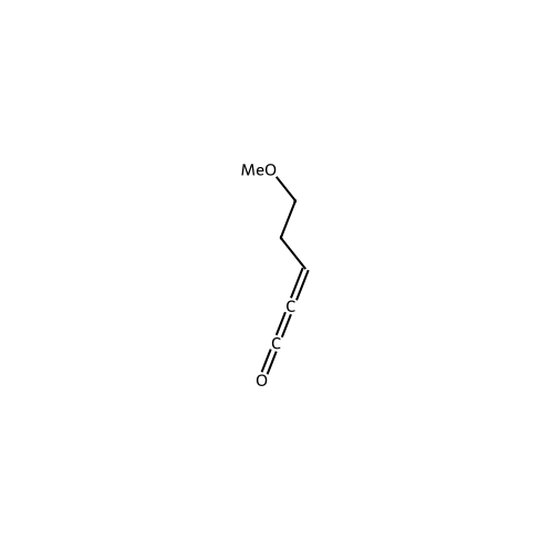 COCCC=C=C=O